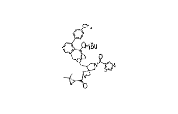 CC(C)(C)OC(=O)c1c(COCC2CN(C(=O)c3cncs3)CC23CN(C(=O)[C@H]2CC2(C)C)C3)cccc1-c1ccc(C(F)(F)F)cc1